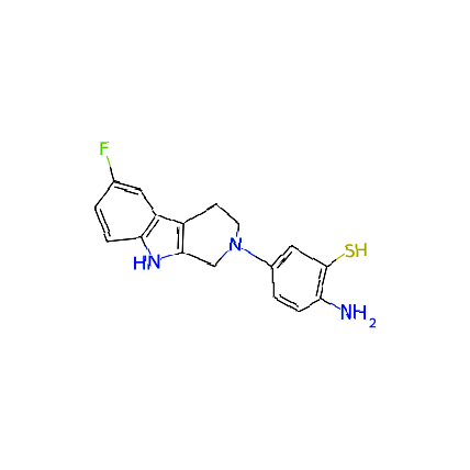 Nc1ccc(N2CCc3c([nH]c4ccc(F)cc34)C2)cc1S